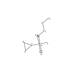 CCCN=S(C)(=O)C1CC1